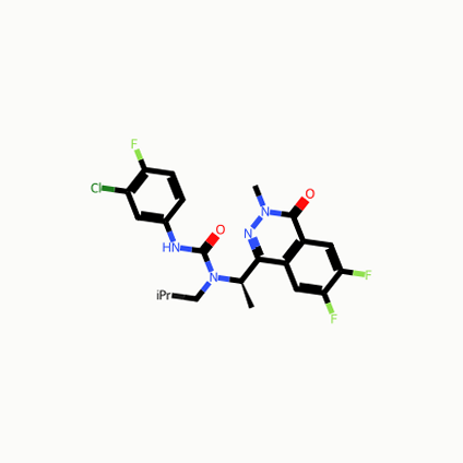 CC(C)CN(C(=O)Nc1ccc(F)c(Cl)c1)[C@H](C)c1nn(C)c(=O)c2cc(F)c(F)cc12